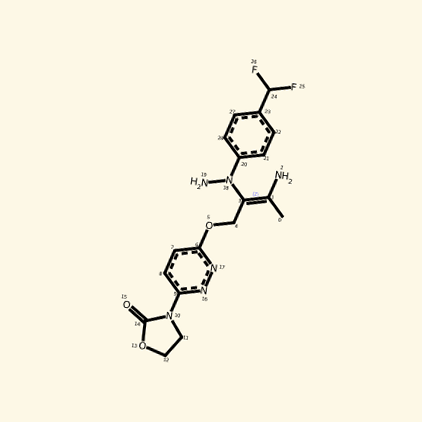 C/C(N)=C(\COc1ccc(N2CCOC2=O)nn1)N(N)c1ccc(C(F)F)cc1